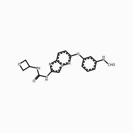 O=CNc1cccc(Oc2ccc3nc(NC(=O)PC4COC4)cn3n2)c1